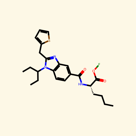 CCCC[C@H](NC(=O)c1ccc2c(c1)nc(Cc1cccs1)n2C(CC)CC)C(=O)OF